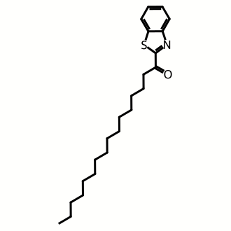 CCCCCCCCCCCCCCCC(=O)c1nc2ccccc2s1